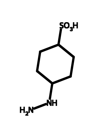 NNC1CCC(S(=O)(=O)O)CC1